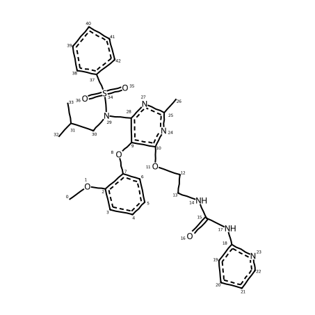 COc1ccccc1Oc1c(OCCNC(=O)Nc2ccccn2)nc(C)nc1N(CC(C)C)S(=O)(=O)c1ccccc1